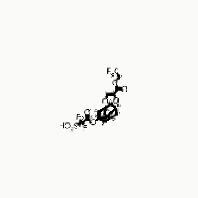 O=C(OCC(F)(F)F)C1COC2(O1)C1CC3CC2CC(OC(=O)C(F)(F)S(=O)(=O)O)(C3)C1